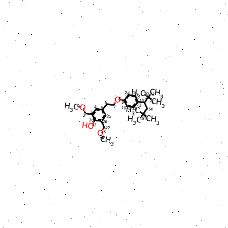 COCc1cc(CCOc2ccc(C(CC(C)(C)C)C(C)(C)C)cc2)cc(COC)c1O